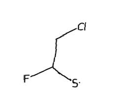 FC([S])CCl